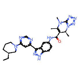 CC[C@H]1CCCN(c2cc(-c3n[nH]c4ccc(NC(=O)C5=C(C)N(C)c6nnnn6[C@H]5C)cc34)ncn2)C1